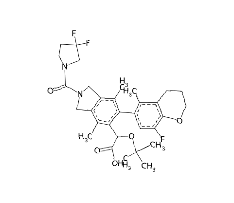 Cc1c(-c2c(C)c3c(c(C)c2C(OC(C)(C)C)C(=O)O)CN(C(=O)N2CCC(F)(F)C2)C3)cc(F)c2c1CCCO2